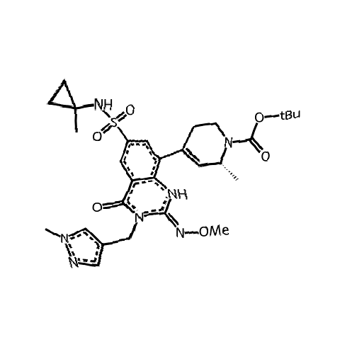 CO/N=c1\[nH]c2c(C3=C[C@@H](C)N(C(=O)OC(C)(C)C)CC3)cc(S(=O)(=O)NC3(C)CC3)cc2c(=O)n1Cc1cnn(C)c1